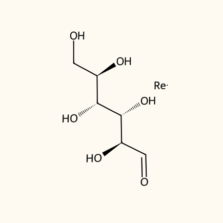 O=C[C@@H](O)[C@@H](O)[C@H](O)[C@H](O)CO.[Re]